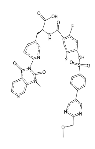 COCc1ncc(-c2ccc(S(=O)(=O)Nc3cc(F)c(C(=O)N[C@@H](Cc4ccc(-n5c(=O)c6ccncc6n(C)c5=O)nc4)C(=O)O)cc3F)cc2)cn1